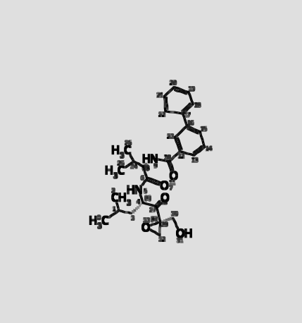 CC(C)C[C@H](NC(=O)[C@@H](NC(=O)c1cccc(-c2ccccc2)c1)C(C)C)C(=O)[C@@]1(CO)CO1